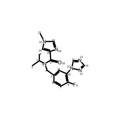 CC(C)N(Cc1ccc(F)c(-n2cncn2)c1)C(=O)c1cn(C)cn1